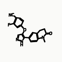 CN1C(=O)CCc2cc(-c3[nH]ncc3Oc3ccc(C#N)c(F)c3)ccc21